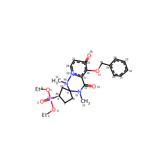 CCOP(=O)(OCC)[C@@H]1CCC2(C1)N(C)C(=O)c1c(OCc3ccccc3)c(=O)ccn1N2C